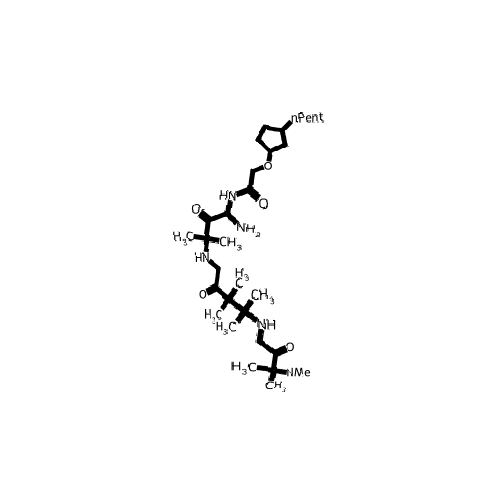 CCCCCC1CCC(OCC(=O)NC(N)C(=O)C(C)(C)NCC(=O)C(C)(C)C(C)(C)NCC(=O)C(C)(C)NC)C1